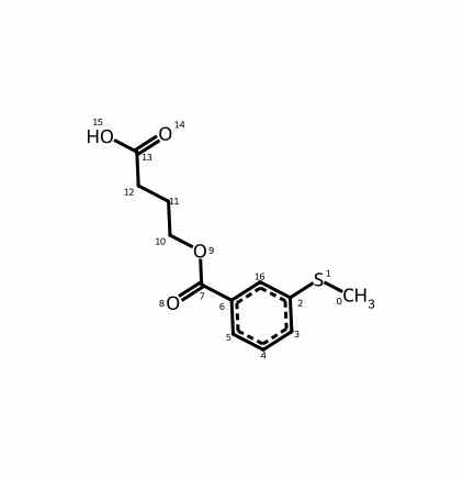 CSc1cccc(C(=O)OCCCC(=O)O)c1